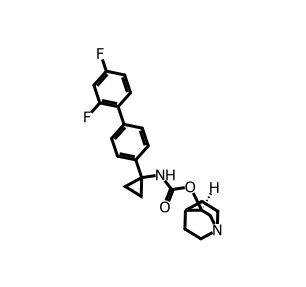 O=C(NC1(c2ccc(-c3ccc(F)cc3F)cc2)CC1)O[C@H]1CN2CCC1CC2